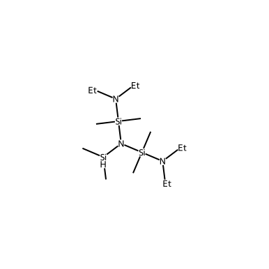 CCN(CC)[Si](C)(C)N([SiH](C)C)[Si](C)(C)N(CC)CC